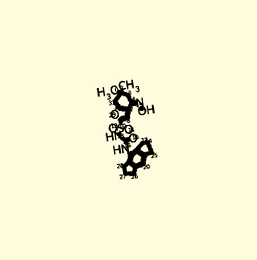 CC1(C)C/C(=N/O)c2cc(S(=O)(=O)NC(=O)Nc3c4c(cc5c3CCC5)CCC4)oc2C1